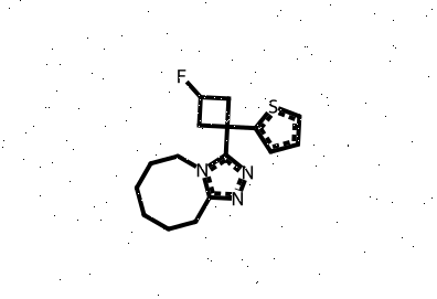 FC1CC(c2cccs2)(c2nnc3n2CCCCCC3)C1